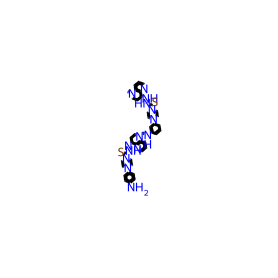 CN1CCC(NNC(=S)N2CCN(C3C=C(NCN4CC/C(=N/NC(=S)N5CCN(c6ccc(N)cc6)CC5)c5ncccc54)C=CC3)CC2)c2ncccc21